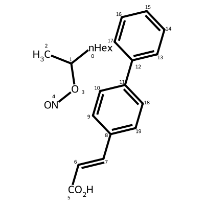 CCCCCCC(C)ON=O.O=C(O)C=Cc1ccc(-c2ccccc2)cc1